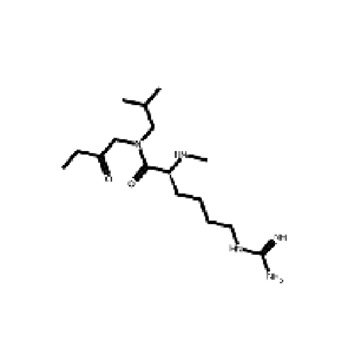 CCC(=O)CN(CC(C)C)C(=O)[C@H](CCCCNC(=N)N)NC